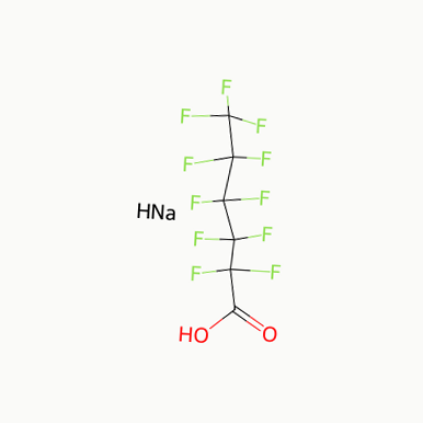 O=C(O)C(F)(F)C(F)(F)C(F)(F)C(F)(F)C(F)(F)F.[NaH]